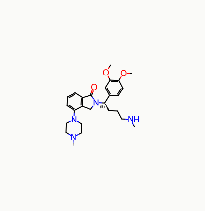 CNCCC[C@H](c1ccc(OC)c(OC)c1)N1Cc2c(cccc2N2CCN(C)CC2)C1=O